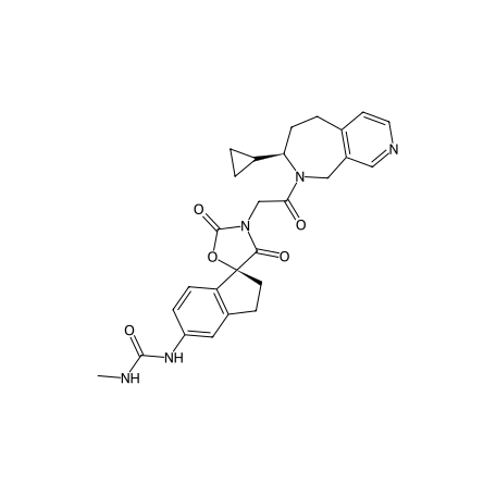 CNC(=O)Nc1ccc2c(c1)CC[C@]21OC(=O)N(CC(=O)N2Cc3cnccc3CC[C@@H]2C2CC2)C1=O